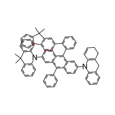 CC1(C)c2ccccc2-c2ccc(-c3ccccc3-c3c4ccc(N5c6ccccc6C(C)(C)c6ccccc65)cc4c(-c4ccccc4)c4ccc(N5C6=C(CCC=C6)Cc6ccccc65)cc34)cc21